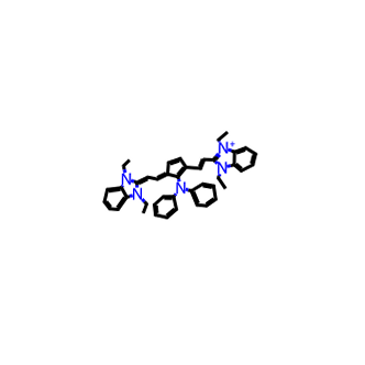 CCN1C(=C/C=C2\C=CC(/C=C/c3n(CC)c4ccccc4[n+]3CC)=C2N(c2ccccc2)c2ccccc2)N(CC)c2ccccc21